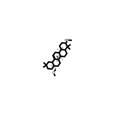 CNC1CC[C@@]2(C)C(CC[C@]3(C)C2CC=C2C4CC(C)(C)CC[C@]4(COC)CC[C@]23C)C1(C)C